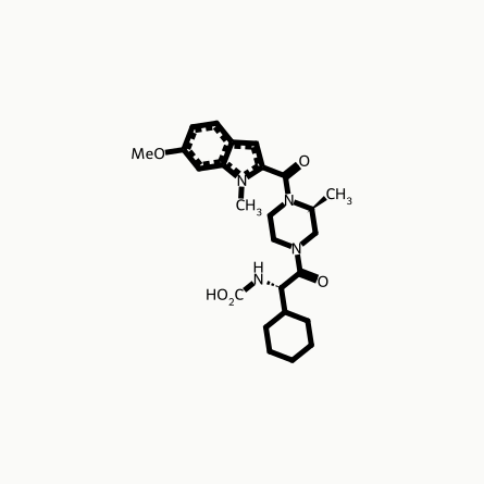 COc1ccc2cc(C(=O)N3CCN(C(=O)[C@@H](NC(=O)O)C4CCCCC4)C[C@@H]3C)n(C)c2c1